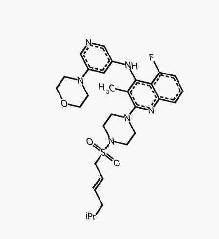 Cc1c(N2CCN(S(=O)(=O)CC=CCC(C)C)CC2)nc2cccc(F)c2c1Nc1cncc(N2CCOCC2)c1